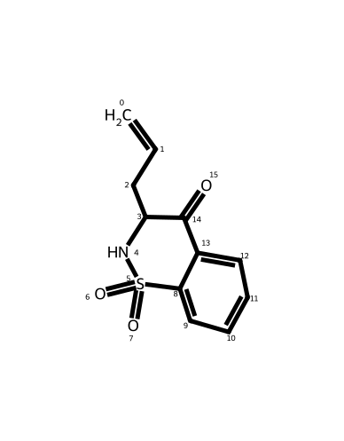 C=CCC1NS(=O)(=O)c2ccccc2C1=O